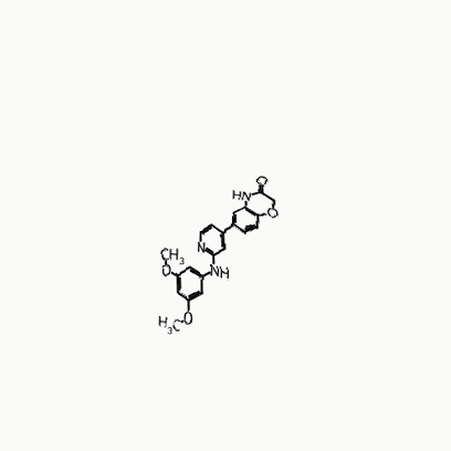 COc1cc(Nc2cc(-c3ccc4c(c3)NC(=O)CO4)ccn2)cc(OC)c1